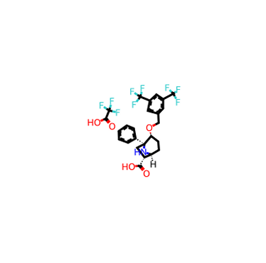 O=C(O)C(F)(F)F.O=C(O)[C@@H]1C[C@]2(c3ccccc3)N[C@H]1CC[C@H]2OCc1cc(C(F)(F)F)cc(C(F)(F)F)c1